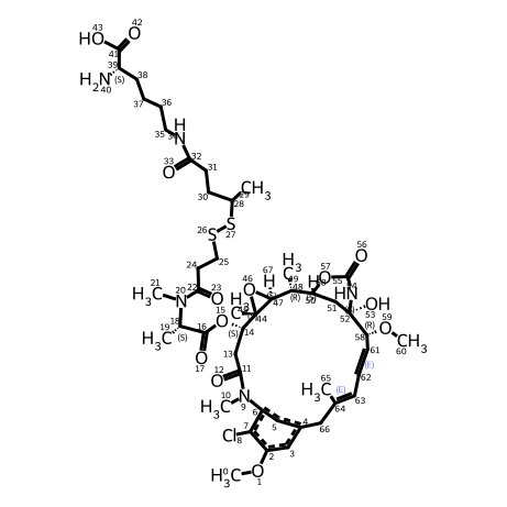 COc1cc2cc(c1Cl)N(C)C(=O)C[C@H](OC(=O)[C@H](C)N(C)C(=O)CCSSC(C)CCC(=O)NCCCC[C@H](N)C(=O)O)[C@]1(C)O[C@H]1[C@H](C)[C@@H]1C[C@@](O)(NC(=O)O1)[C@H](OC)/C=C/C=C(\C)C2